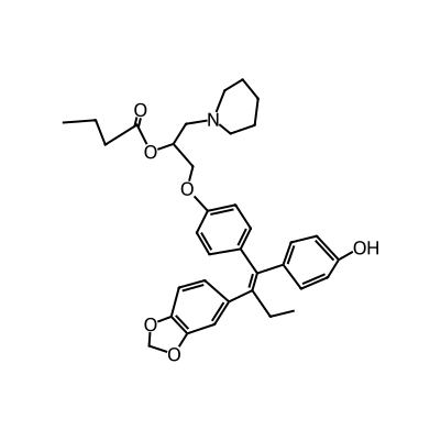 CCCC(=O)OC(COc1ccc(/C(=C(/CC)c2ccc3c(c2)OCO3)c2ccc(O)cc2)cc1)CN1CCCCC1